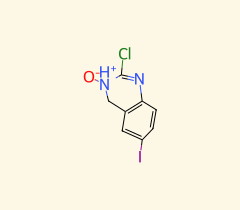 [O-][NH+]1Cc2cc(I)ccc2N=C1Cl